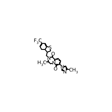 Cc1cn(-c2ccc3n(c2=O)C[C@@H](C)N(CC2CSC4=CC(C(F)(F)F)=CCC42)C3=O)cn1